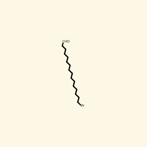 CC(C)CCCCCCCCCCCCCCC[C]=O